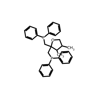 CC1COC(CP(c2ccccc2)c2ccccc2)(CP(c2ccccc2)c2ccccc2)C1C